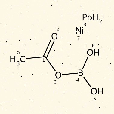 CC(=O)OB(O)O.[Ni].[PbH2]